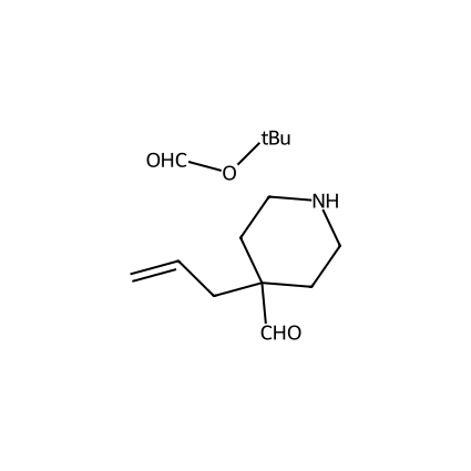 C=CCC1(C=O)CCNCC1.CC(C)(C)OC=O